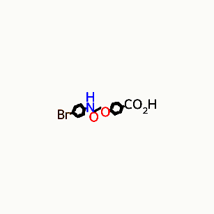 O=C(COc1ccc(C(=O)O)cc1)Nc1ccc(Br)cc1